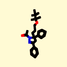 CC(=O)N1N=C(c2ccccc2)CC1(CCCO[Si](C)(C)C(C)(C)C)c1ccccc1